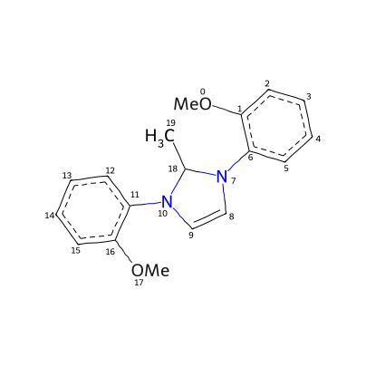 COc1ccccc1N1C=CN(c2ccccc2OC)C1C